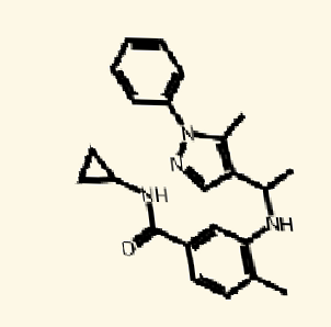 Cc1ccc(C(=O)NC2CC2)cc1NC(C)c1cnn(-c2ccccc2)c1C